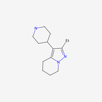 CCc1nn2c(c1C1CC[N]CC1)CCCC2